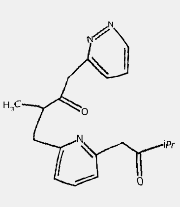 CC(C)C(=O)Cc1cccc(CC(C)C(=O)Cc2cccnn2)n1